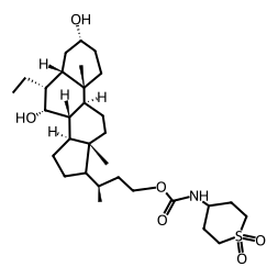 CC[C@H]1[C@@H](O)[C@@H]2[C@H](CC[C@]3(C)C([C@H](C)CCOC(=O)NC4CCS(=O)(=O)CC4)CC[C@@H]23)[C@@]2(C)CC[C@@H](O)C[C@@H]12